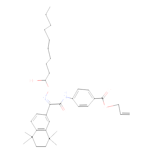 C=CCOC(=O)c1ccc(NC(=O)/C(=N\OC(O)CCCCCCCCC)c2ccc3c(c2)C(C)(C)CCC3(C)C)cc1